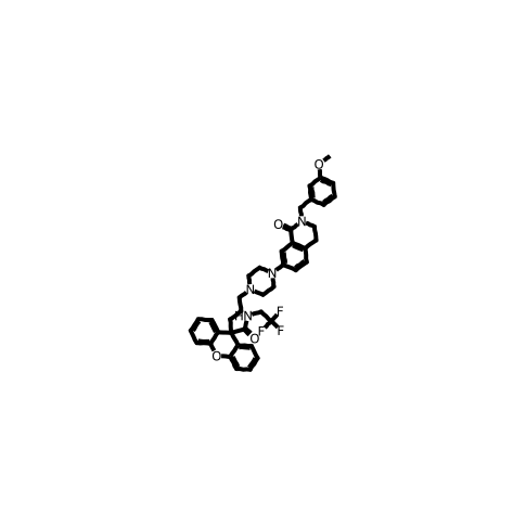 COc1cccc(CN2CCc3ccc(N4CCN(CCCC5(C(=O)NCC(F)(F)F)c6ccccc6Oc6ccccc65)CC4)cc3C2=O)c1